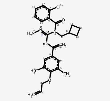 C=CCOc1c(C)cc(C(=C)S/C(=N\N)N(CC2CCC2)C(=O)c2ccccc2Cl)cc1C